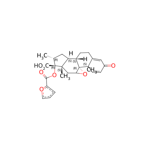 C[C@@H]1C[C@H]2[C@@H]3CCC4=CC(=O)C=C[C@]4(C)[C@]34OC4C[C@]2(C)[C@@]1(OC(=O)c1ccco1)C(=O)O